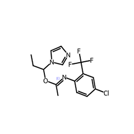 CCC(O/C(C)=N/c1ccc(Cl)cc1C(F)(F)F)n1ccnc1